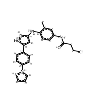 Cc1cc(NC(=O)CCCl)ccc1Nc1cc(-c2ccc(-n3cccn3)cc2)[nH]n1